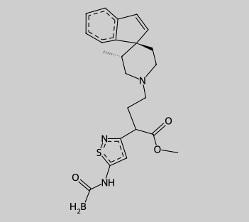 BC(=O)Nc1cc(C(CCN2CC[C@@]3(C=Cc4ccccc43)[C@@H](C)C2)C(=O)OC)ns1